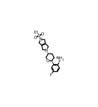 CCS(=O)(=O)N1CC2=C(CN([C@H]3CO[C@H](c4cc(F)ccc4F)[C@@H](N)C3)C2)C1